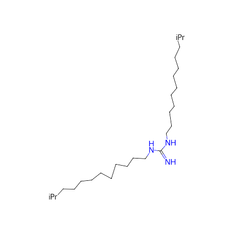 CC(C)CCCCCCCCCCNC(=N)NCCCCCCCCCCC(C)C